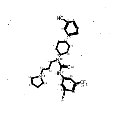 N#Cc1cccc([C@H]2CC[C@@H](N(CCCN3CCCC3)C(=O)Nc3cc(F)cc(C(F)(F)F)c3)CC2)c1